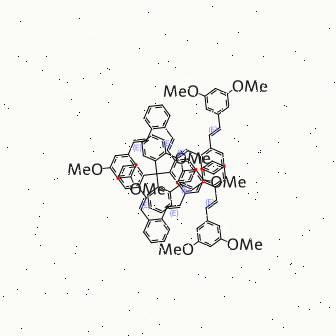 COc1cc(/C=C/c2ccccc2/C=C/c2ccccc2C(c2ccccc2/C=C/c2ccccc2/C=C/c2cc(OC)cc(OC)c2)(c2ccccc2/C=C/c2ccccc2/C=C/c2cc(OC)cc(OC)c2)c2ccccc2/C=C/c2ccccc2/C=C/c2cc(OC)cc(OC)c2)cc(OC)c1